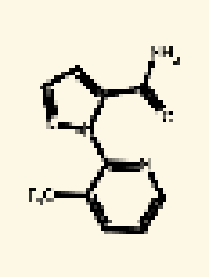 NC(=O)c1ccnn1-c1ncccc1C(F)(F)F